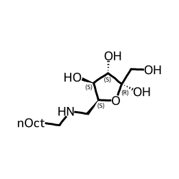 CCCCCCCCCNC[C@@H]1O[C@](O)(CO)[C@@H](O)[C@@H]1O